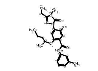 CCC[C@H](C)Oc1cc(-n2nc(CC)n(C)c2=O)c(F)cc1C(=O)Nc1cccc(C)c1